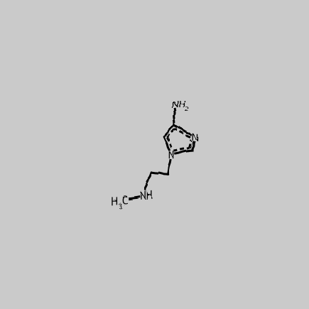 CNCCn1cnc(N)c1